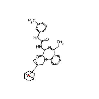 CCC1=NC(NC(=O)Nc2cccc(C)c2)C(=O)N(CC(=O)N2CC3CCC(CC3)C2)c2ccccc21